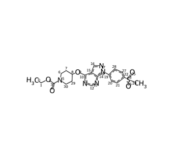 CCOC(=O)N1CCC(Oc2ncnc3c2cnn3-c2ccc(S(C)(=O)=O)cc2)CC1